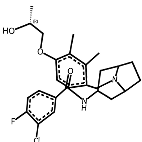 Cc1c(CN2C3CCC2CC(NC(=O)c2ccc(F)c(Cl)c2)C3)ccc(OC[C@@H](C)O)c1C